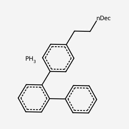 CCCCCCCCCCCCc1ccc(-c2ccccc2-c2ccccc2)cc1.P